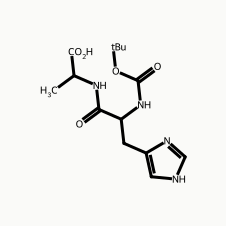 CC(NC(=O)C(Cc1c[nH]cn1)NC(=O)OC(C)(C)C)C(=O)O